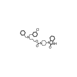 O=C(OCCCN(Cc1ccccc1)Cc1cccc(Cl)c1)N1CCC(n2c(=O)[nH]c3ccccc32)CC1